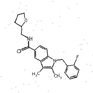 Cc1c(C)n(Cc2ccccc2F)c2ccc(C(=O)NCC3CCCO3)cc12